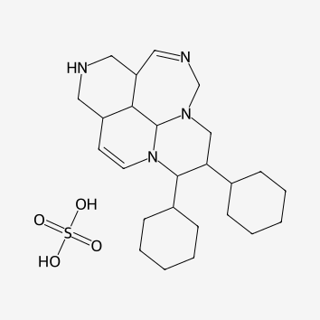 C1=CN2C(C3CCCCC3)C(C3CCCCC3)CN3CN=CC4CNCC1C4C32.O=S(=O)(O)O